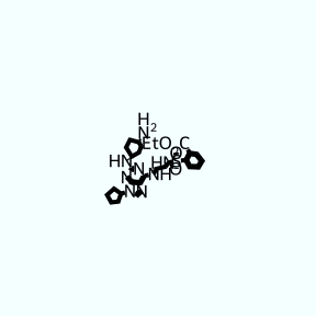 CCOC(=O)c1ccccc1S(=O)(=O)NCCNc1nc(N[C@H]2CC[C@H](N)CC2)nc2c1ncn2C1CCCC1